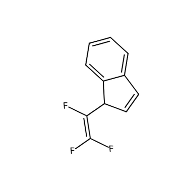 FC(F)=C(F)C1C=Cc2ccccc21